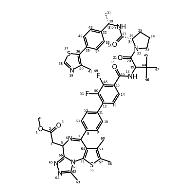 COC(=O)CC1N=C(c2ccc(-c3ccc(C(=O)NC(C(=O)N4CCC[C@H]4C(=O)N[C@@H](C)c4ccc(-c5scnc5C)cc4)C(C)(C)C)c(F)c3F)cc2)c2c(sc(C)c2C)-n2c(C)nnc21